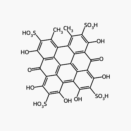 Cc1c(S(=O)(=O)O)c(O)c2c(=O)c3c(O)c(S(=O)(=O)O)c(O)c4c5c(O)c(S(=O)(=O)O)c(O)c6c(=O)c7c(O)c(S(=O)(=O)O)c(C)c8c1c2c(c34)c(c78)c65